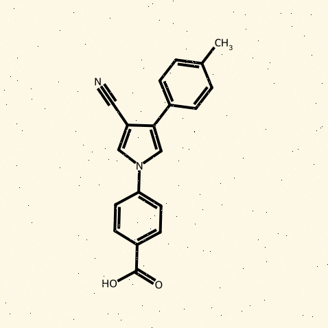 Cc1ccc(-c2cn(-c3ccc(C(=O)O)cc3)cc2C#N)cc1